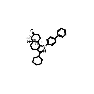 C[C@H]1C(=O)CC[C@@]2(C)c3c(c(C4CCCCC4)nn3-c3ccc(-c4ccccc4)cc3)CC[C@H]12